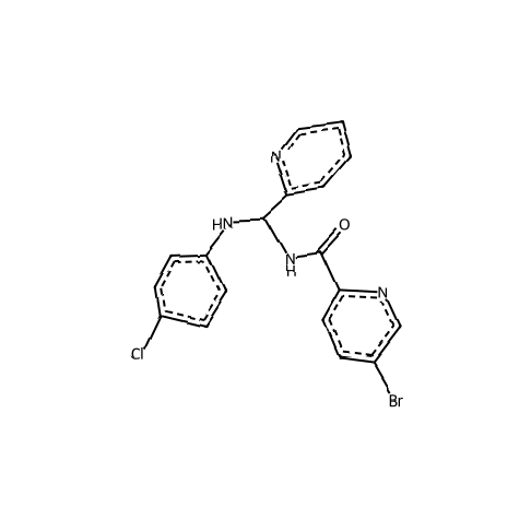 O=C(NC(Nc1ccc(Cl)cc1)c1ccccn1)c1ccc(Br)cn1